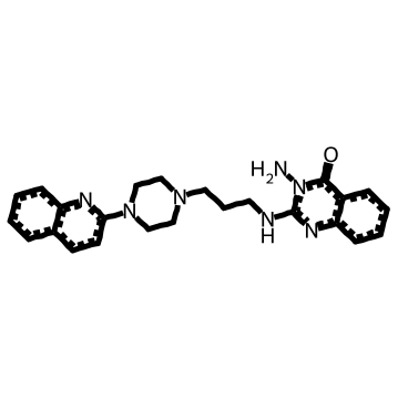 Nn1c(NCCCN2CCN(c3ccc4ccccc4n3)CC2)nc2ccccc2c1=O